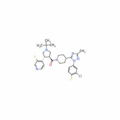 Cc1nc(C2CCN(C(=O)[C@@H]3CN(C(C)(C)C)C[C@H]3c3ccncc3F)CC2)n(-c2ccc(F)c(Cl)c2)n1